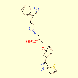 Cn1nc(-c2cccc(OCC(O)CNCCc3c[nH]c4ccccc34)c2)c2sccc21